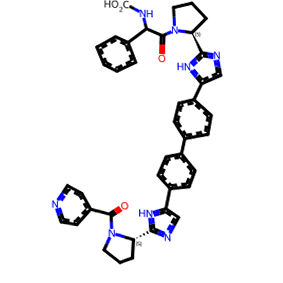 O=C(O)NC(C(=O)N1CCC[C@H]1c1ncc(-c2ccc(-c3ccc(-c4cnc([C@@H]5CCCN5C(=O)c5ccncc5)[nH]4)cc3)cc2)[nH]1)c1ccccc1